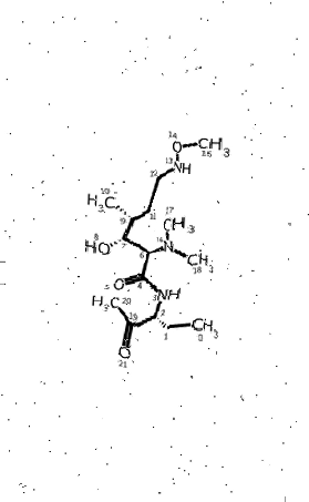 CC[C@@H](NC(=O)[C@@H]([C@H](O)[C@H](C)CCNOC)N(C)C)C(C)=O